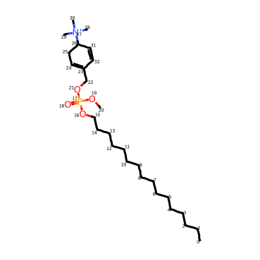 CCCCCCCCCCCCCCCCOP(=O)(OC)OCC1=CCC([N+](C)(C)C)C=C1